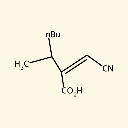 CCCCC(C)C(=CC#N)C(=O)O